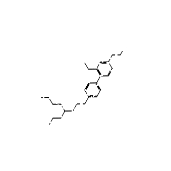 CCCCC(CCC)CCCc1ccc(-c2ccc(CCO)cc2CC)cc1